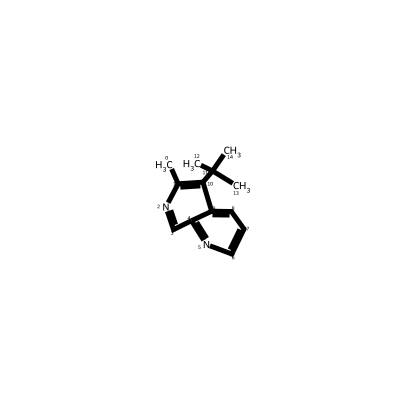 Cc1ncc2ncccc2c1C(C)(C)C